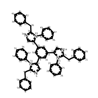 c1ccc(Cc2ncc(-c3cc(-c4cnc(Cc5ccccc5)n4-c4ccccc4)cc(-c4cnc(Cc5ccccc5)n4-c4ccccc4)c3)n2-c2ccccc2)cc1